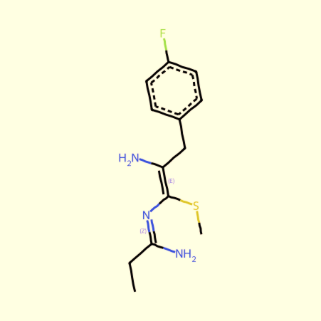 CC/C(N)=N/C(SC)=C(\N)Cc1ccc(F)cc1